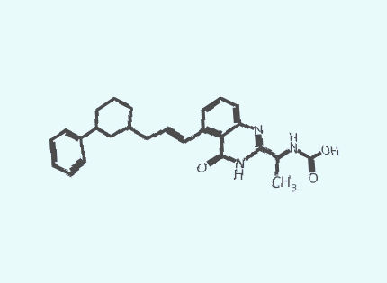 CC(NC(=O)O)c1nc2cccc(C=CCC3CCCC(c4ccccc4)C3)c2c(=O)[nH]1